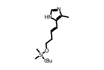 Cc1nc[nH]c1C=CCCO[Si](C)(C)C(C)(C)C